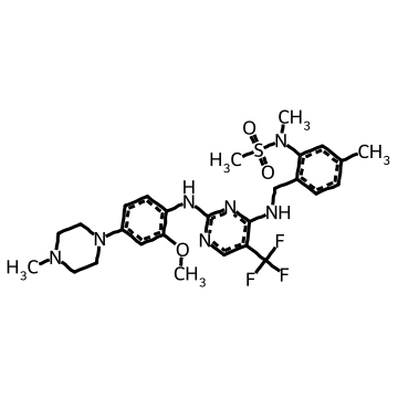 COc1cc(N2CCN(C)CC2)ccc1Nc1ncc(C(F)(F)F)c(NCc2ccc(C)cc2N(C)S(C)(=O)=O)n1